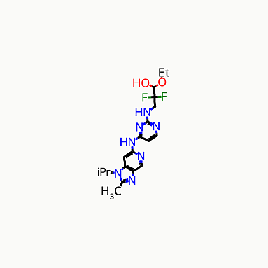 CCOC(O)C(F)(F)CNc1nccc(Nc2cc3c(cn2)nc(C)n3C(C)C)n1